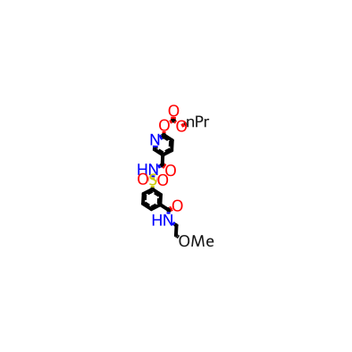 CCCOC(=O)Oc1ccc(C(=O)NS(=O)(=O)c2cccc(C(=O)NCCOC)c2)cn1